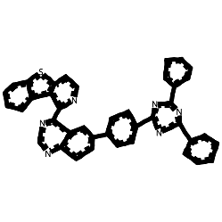 c1ccc(-c2nc(-c3ccccc3)nc(-c3ccc(-c4ccc5ncnc(-c6nccc7sc8ccccc8c67)c5c4)cc3)n2)cc1